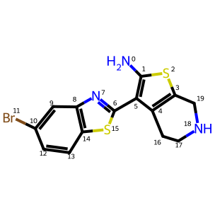 Nc1sc2c(c1-c1nc3cc(Br)ccc3s1)CCNC2